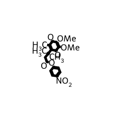 COC1=C(OC)C(=O)C(C(C)(C)CC(=O)Oc2ccc([N+](=O)[O-])cc2)=C(C)C1=O